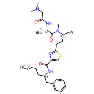 CC[C@H](C)[C@H](NC(=O)CN(C)C)C(=O)N(C)[C@H](CCc1nc(C(=O)N[C@H](CCC(=O)O)Cc2ccccc2)cs1)C(C)C